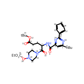 CCCCc1cc(C(=O)NC(CCC(=O)OC(C)(C)C)C(=O)N2CCN(OC(=O)OCC)CC2)nc(-c2ccccc2)n1